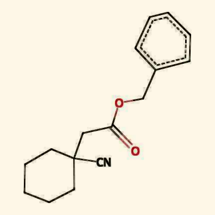 N#CC1(CC(=O)OCc2ccccc2)CCCCC1